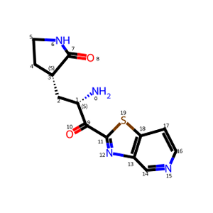 N[C@@H](C[C@@H]1CCNC1=O)C(=O)c1nc2cnccc2s1